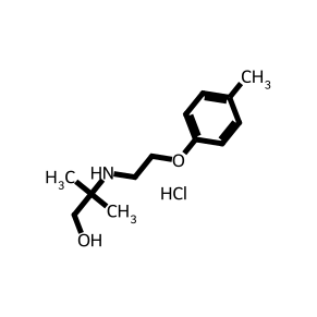 Cc1ccc(OCCNC(C)(C)CO)cc1.Cl